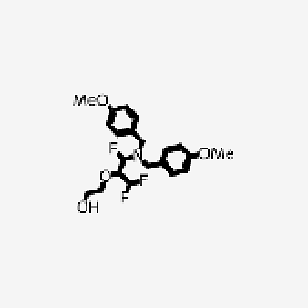 COc1ccc(CN(Cc2ccc(OC)cc2)C(F)C(OCCO)C(F)F)cc1